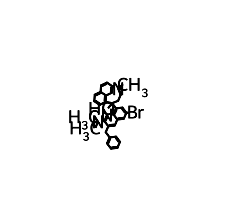 CN(C)c1nc2c(C3(O)CCN(C)c4ccc5cccc3c5c4)cc(Br)cc2cc1Cc1ccccc1